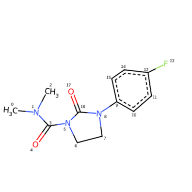 CN(C)C(=O)N1CCN(c2ccc(F)cc2)C1=O